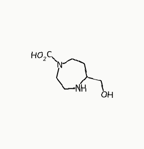 O=C(O)N1CCNC(CO)CC1